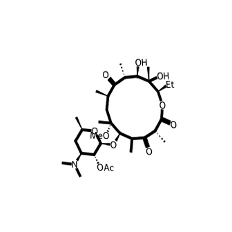 CC[C@H]1OC(=O)[C@H](C)C(=O)C(C)[C@@H](O[C@@H]2O[C@H](C)C[C@H](N(C)C)[C@H]2OC(C)=O)[C@](C)(OC)C[C@@H](C)C(=O)[C@H](C)[C@@H](O)[C@]1(C)O